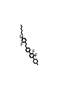 CCCCCCOc1ccc(CCc2ccc(-c3ccc(C4CCC(C)CC4)c(F)c3F)cc2)c(F)c1